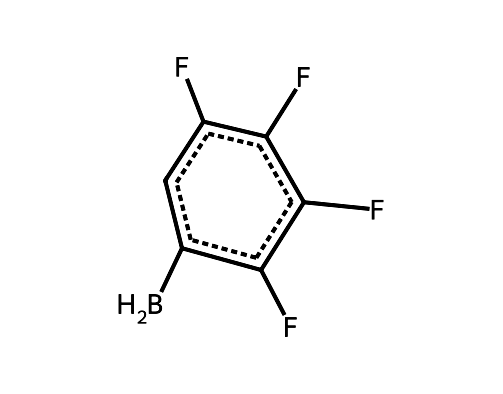 Bc1cc(F)c(F)c(F)c1F